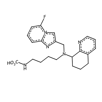 O=C(O)NCCCCN(Cc1cn2c(F)cccc2n1)C1CCCc2cccnc21